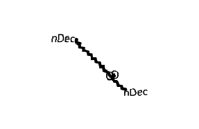 CCCCCCCCCCCCCCCCCCCCCCCCCCCOC(=O)CCCCCCCCCCCCCCCC